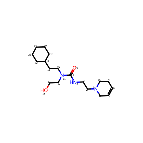 O=C(NCCN1CC=CCC1)N(CCO)CCC1CCCCC1